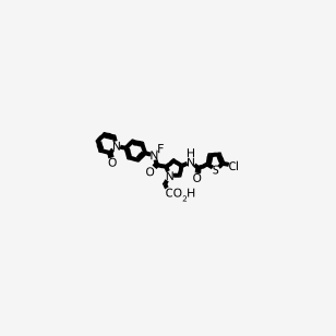 O=C(O)CN1CC(NC(=O)c2ccc(Cl)s2)CC1C(=O)N(F)c1ccc(-n2ccccc2=O)cc1